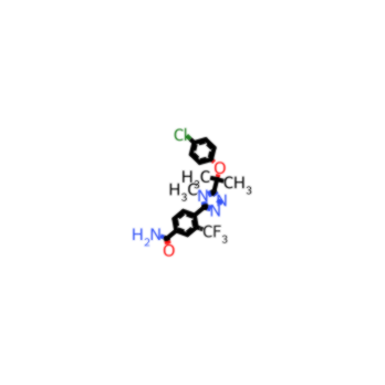 Cn1c(-c2ccc(C(N)=O)cc2C(F)(F)F)nnc1C(C)(C)Oc1ccc(Cl)cc1